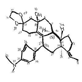 CC=C1CC[C@H]2[C@@H]3CC[C@@]4(O)CC5(CCC4=C3[C@H](c3ccc(N(C)C)cc3)C[C@]12C)OCCO5